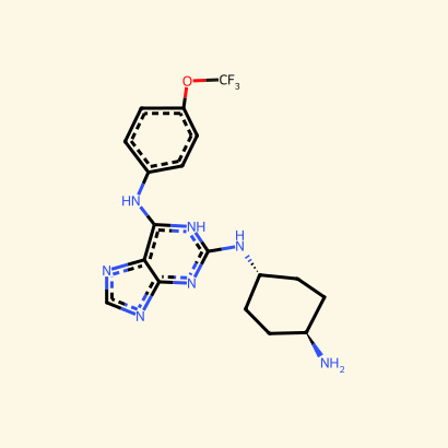 N[C@H]1CC[C@H](Nc2nc3ncnc-3c(Nc3ccc(OC(F)(F)F)cc3)[nH]2)CC1